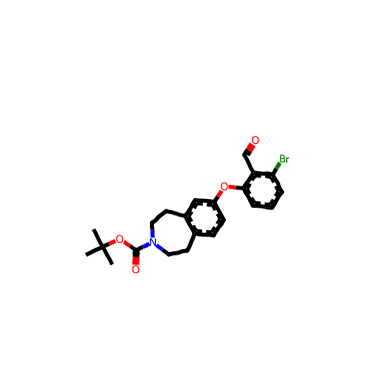 CC(C)(C)OC(=O)N1CCc2ccc(Oc3cccc(Br)c3C=O)cc2CC1